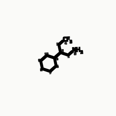 NCC(CC(F)(F)F)C1CCCCC1